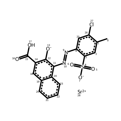 Cc1cc(S(=O)(=O)[O-])c(N=Nc2c([O-])c(C(=O)O)cc3ccccc23)cc1Cl.[Sr+2]